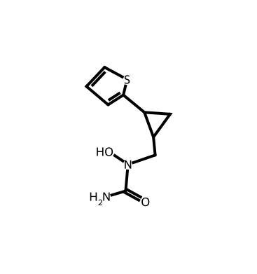 NC(=O)N(O)CC1CC1c1cccs1